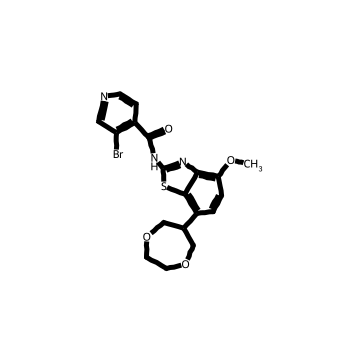 COc1ccc(C2COCCOC2)c2sc(NC(=O)c3ccncc3Br)nc12